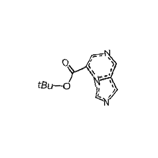 CC(C)(C)OC(=O)c1cncc2cncn12